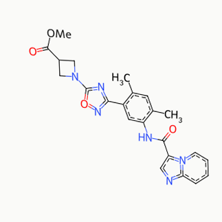 COC(=O)C1CN(c2nc(-c3cc(NC(=O)c4cnc5ccccn45)c(C)cc3C)no2)C1